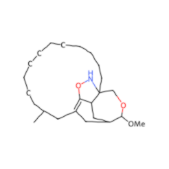 COC1OCC23CCCCCCCCCCCC(C)CC4=C(ON2)C3CC1C4